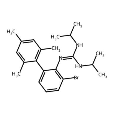 Cc1cc(C)c(-c2cccc(Br)c2N=C(NC(C)C)NC(C)C)c(C)c1